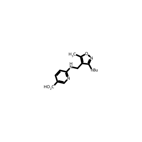 CCCCc1noc(C)c1CNc1ccc(C(=O)O)cn1